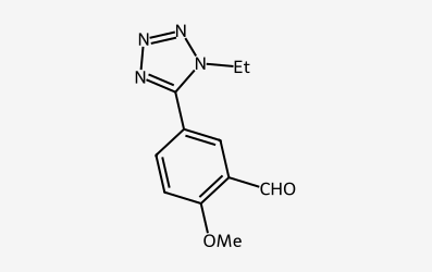 CCn1nnnc1-c1ccc(OC)c(C=O)c1